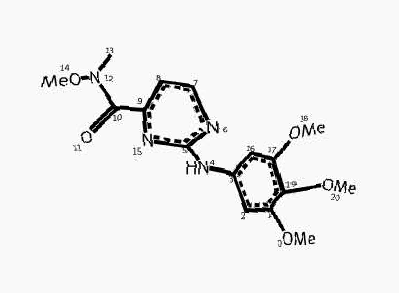 COc1cc(Nc2nccc(C(=O)N(C)OC)n2)cc(OC)c1OC